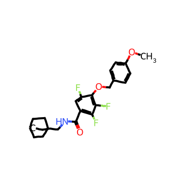 COc1ccc(COc2c(F)cc(C(=O)NCC34CCC(CC3)CC4)c(F)c2F)cc1